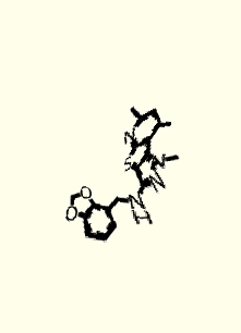 Cc1cc(C)c2c(n1)sc1c(NCc3cccc4c3OCO4)nn(C)c12